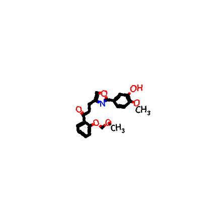 COCOc1ccccc1C(=O)CCc1coc(-c2ccc(OC)c(O)c2)n1